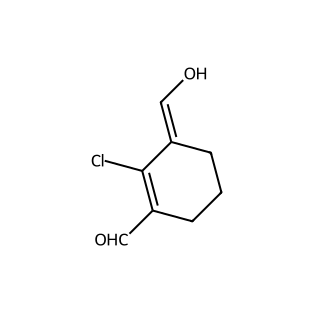 O=CC1=C(Cl)C(=CO)CCC1